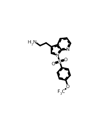 NCCc1cn(S(=O)(=O)c2ccc(OC(F)(F)F)cc2)c2ncccc12